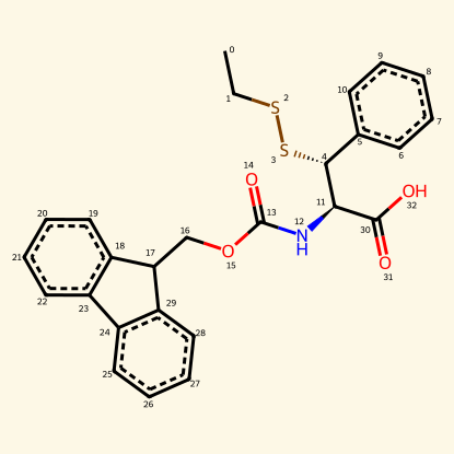 CCSS[C@H](c1ccccc1)[C@H](NC(=O)OCC1c2ccccc2-c2ccccc21)C(=O)O